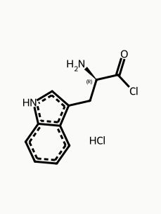 Cl.N[C@H](Cc1c[nH]c2ccccc12)C(=O)Cl